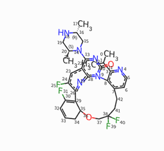 CC(C)c1nccc2c1-n1c(=O)nc(N3C[C@@H](C)NC[C@@H]3C)c3cc(F)c(nc31)C1=C(F)C=CCC1OCC(F)(F)CC2